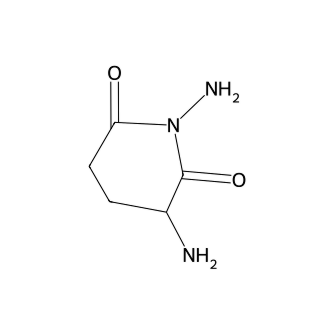 NC1CCC(=O)N(N)C1=O